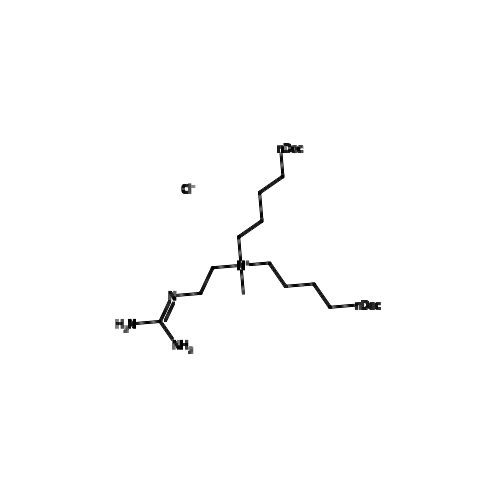 CCCCCCCCCCCCCC[N+](C)(CCCCCCCCCCCCCC)CCN=C(N)N.[Cl-]